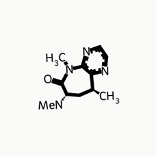 CN[C@H]1C[C@H](C)c2nccnc2N(C)C1=O